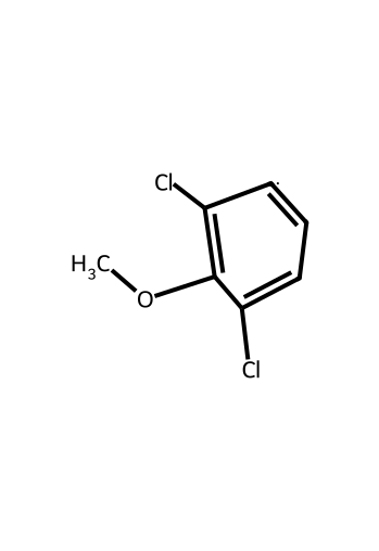 COc1c(Cl)[c]ccc1Cl